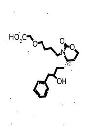 O=C(O)COCCCCN1C(=O)OCC[C@@H]1CCC(O)Cc1ccccc1